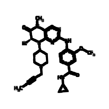 CC#CCN1CCC(N2c3nc(Nc4ccc(C(=O)NC5CC5)cc4OC(F)(F)F)ncc3N(C)C(=O)[C@H]2CC)CC1